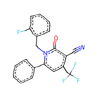 N#Cc1c(C(F)(F)F)cc(-c2ccccc2)n(Cc2ccccc2F)c1=O